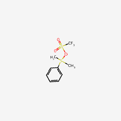 CS(C)(OS(=O)(=O)C(F)(F)F)c1ccccc1